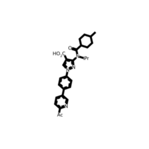 CC(=O)c1ccc(-c2ccc(-n3cc(C(=O)O)c(N(C(=O)C4CCC(C)CC4)C(C)C)n3)cc2)cn1